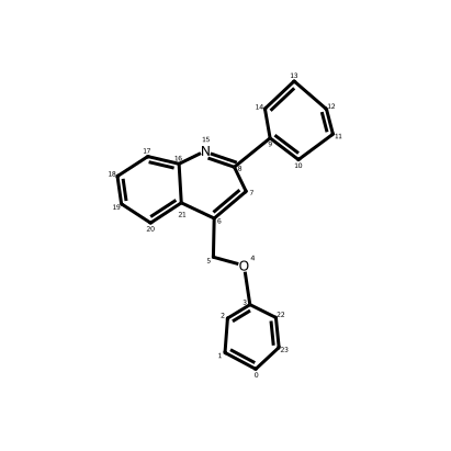 c1ccc(OCc2cc(-c3ccccc3)nc3ccccc23)cc1